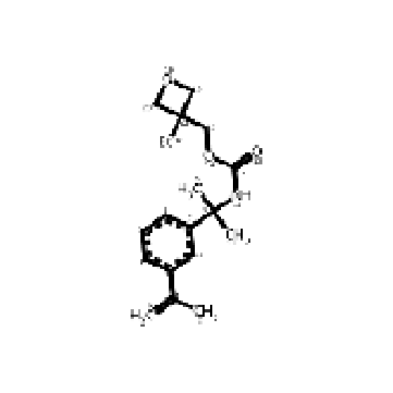 C=C(C)c1cccc(C(C)(C)NC(=O)OCC2(CC)COC2)c1